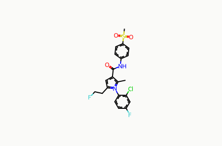 Cc1c(C(=O)Nc2ccc(S(C)(=O)=O)cc2)cc(CCF)n1-c1ccc(F)cc1Cl